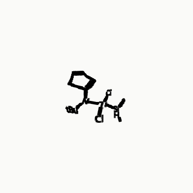 C[SiH](C)[Ti]([Cl])([Cl])[N](C1=CC=CC1)C(C)(C)C